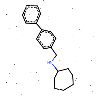 c1ccc(-c2ccc(CNC3CCCCCC3)cc2)cc1